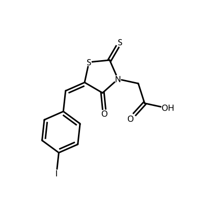 O=C(O)CN1C(=O)/C(=C\c2ccc(I)cc2)SC1=S